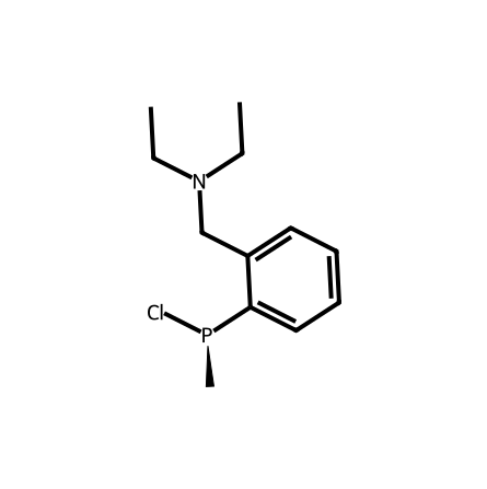 CCN(CC)Cc1ccccc1[P@@](C)Cl